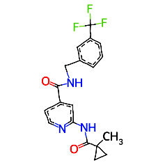 CC1(C(=O)Nc2cc(C(=O)NCc3cccc(C(F)(F)F)c3)ccn2)CC1